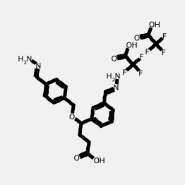 NN=Cc1ccc(COC(CCC(=O)O)c2cccc(C=NN)c2)cc1.O=C(O)C(F)(F)F.O=C(O)C(F)(F)F